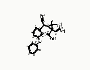 CC1(C)C(C(C#N)c2cccc(Oc3ccccc3)c2)C1(C=C(Cl)Cl)C(=O)O